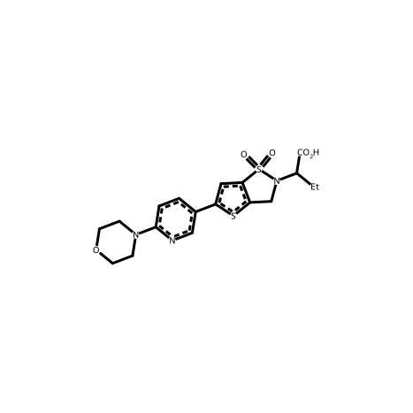 CCC(C(=O)O)N1Cc2sc(-c3ccc(N4CCOCC4)nc3)cc2S1(=O)=O